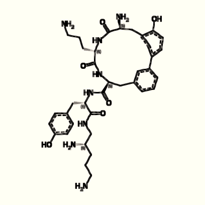 NCCC[C@H](N)CNC(=O)[C@H](Cc1ccc(O)cc1)NC(=O)[C@@H]1Cc2cccc(c2)-c2ccc(O)c(c2)C[C@H](N)C(=O)N[C@@H](CCCN)C(=O)N1